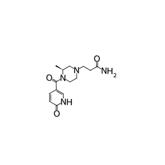 C[C@H]1CN(CCC(N)=O)CCN1C(=O)c1ccc(=O)[nH]c1